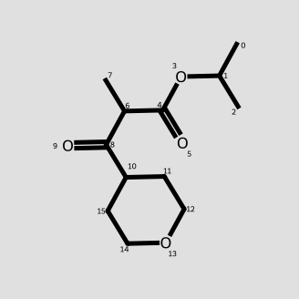 CC(C)OC(=O)C(C)C(=O)C1CCOCC1